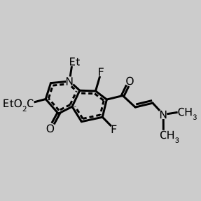 CCOC(=O)c1cn(CC)c2c(F)c(C(=O)C=CN(C)C)c(F)cc2c1=O